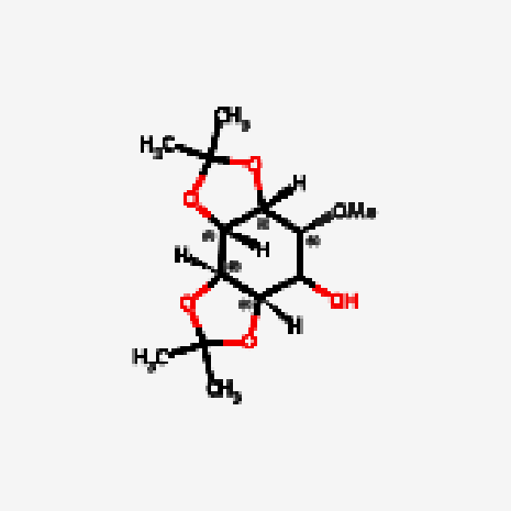 CO[C@H]1C(O)[C@H]2OC(C)(C)O[C@H]2[C@@H]2OC(C)(C)O[C@@H]21